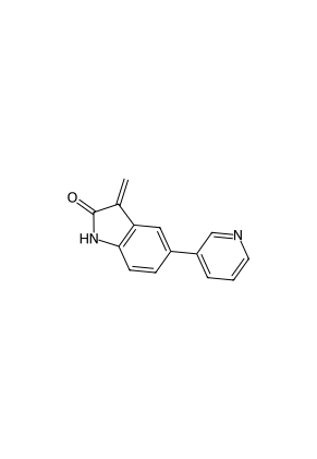 C=C1C(=O)Nc2ccc(-c3cccnc3)cc21